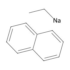 C[CH2][Na].c1ccc2ccccc2c1